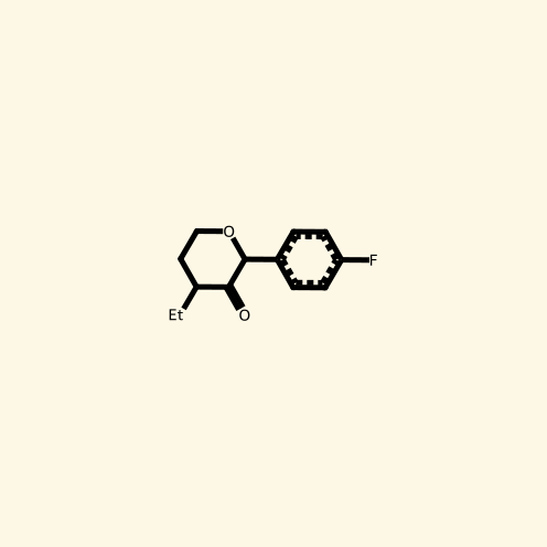 CCC1CCOC(c2ccc(F)cc2)C1=O